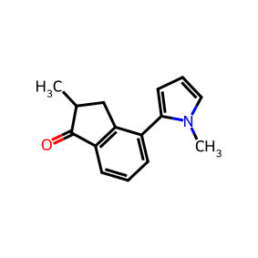 CC1Cc2c(cccc2-c2cccn2C)C1=O